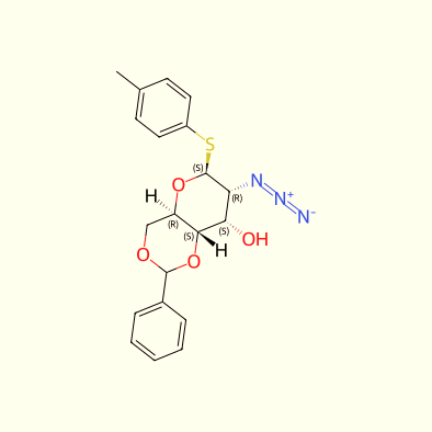 Cc1ccc(S[C@@H]2O[C@@H]3COC(c4ccccc4)O[C@H]3[C@@H](O)[C@H]2N=[N+]=[N-])cc1